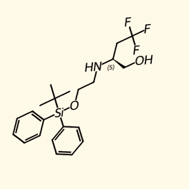 CC(C)(C)[Si](OCCN[C@H](CO)CC(F)(F)F)(c1ccccc1)c1ccccc1